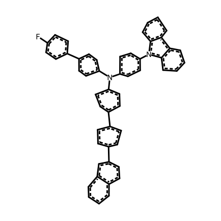 Fc1ccc(-c2ccc(N(c3ccc(-c4ccc(-c5ccc6ccccc6c5)cc4)cc3)c3ccc(-n4c5ccccc5c5ccccc54)cc3)cc2)cc1